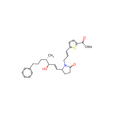 COC(=O)c1ccc(C=CCN2C(=O)CCC2C=C[C@@H](O)[C@@H](C)CCCc2ccccc2)s1